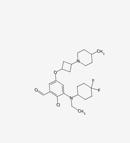 CCN(c1cc(OC2CC(N3CCC(C)CC3)C2)cc(C=O)c1Cl)C1CCC(F)(F)CC1